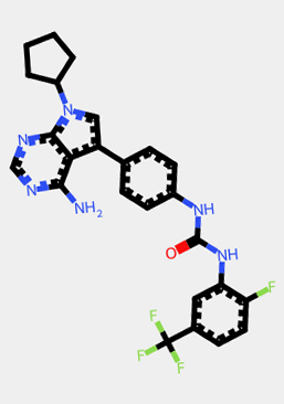 Nc1ncnc2c1c(-c1ccc(NC(=O)Nc3cc(C(F)(F)F)ccc3F)cc1)cn2C1CCCC1